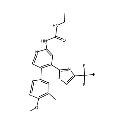 CCNC(=O)Nc1cc(-c2nc(C(F)(F)F)cs2)c(-c2cnc(OC)c(C)c2)cn1